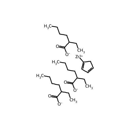 CCCCC(CC)C(=O)[O-].CCCCC(CC)C(=O)[O-].CCCCC(CC)C(=O)[O-].[Zr+3][C]1=CC=CC1